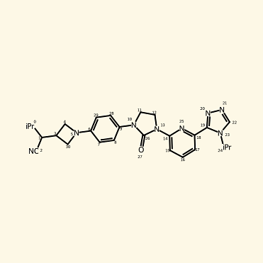 CC(C)C(C#N)C1CN(c2ccc(N3CCN(c4cccc(-c5nncn5C(C)C)n4)C3=O)cc2)C1